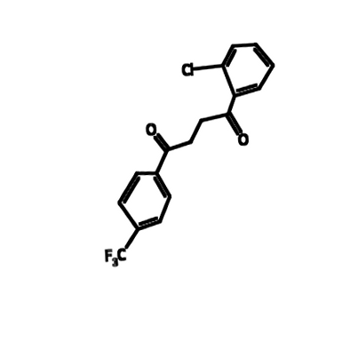 O=C(CCC(=O)c1ccccc1Cl)c1ccc(C(F)(F)F)cc1